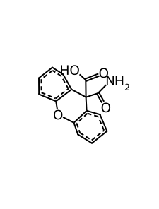 NC(=O)C1(C(=O)O)c2ccccc2Oc2ccccc21